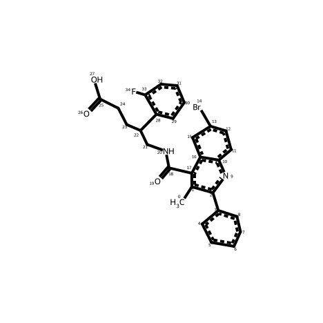 Cc1c(-c2ccccc2)nc2ccc(Br)cc2c1C(=O)NCC(CCC(=O)O)c1ccccc1F